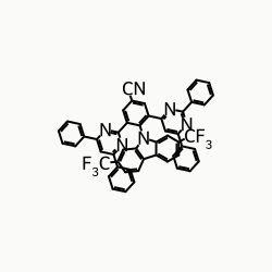 N#Cc1cc(-c2cc(-c3ccccc3)nc(-c3ccccc3)n2)c(-n2c3cc(C(F)(F)F)ccc3c3ccc(C(F)(F)F)cc32)c(-c2nc(-c3ccccc3)cc(-c3ccccc3)n2)c1